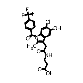 Cc1c(CC(=O)NCCC(=O)O)c2cc(O)c(Cl)cc2n1C(=O)c1ccc(C(F)(F)F)cc1